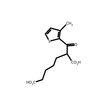 Cc1ccsc1C(=O)C(CCCCC(=O)O)C(=O)O